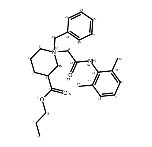 CCCOC(=O)C1CCC[N+](CC(=O)Nc2c(C)cccc2C)(Cc2ccccc2)C1